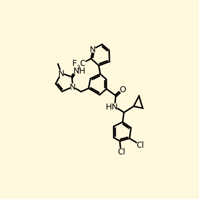 Cn1ccn(Cc2cc(C(=O)NC(c3ccc(Cl)c(Cl)c3)C3CC3)cc(-c3cccnc3C(F)(F)F)c2)c1=N